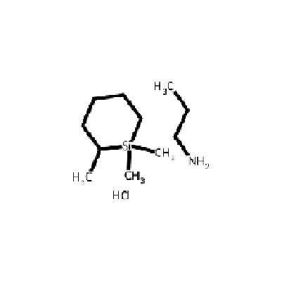 CC1CCCC[Si]1(C)C.CCCN.Cl